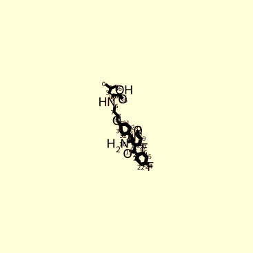 CC(C)C[C@H](NCCCOc1ccc(-n2c(N)c(C(=O)c3ccc(F)cc3F)ccc2=O)cc1)C(=O)O